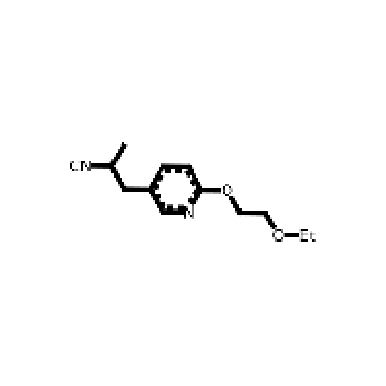 [C-]#[N+]C(C)Cc1ccc(OCCOCC)nc1